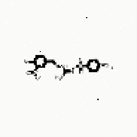 Cc1ccc(S(=O)(=O)ON=C(N)NN=Cc2ccc(Br)c([N+](=O)[O-])c2)cc1